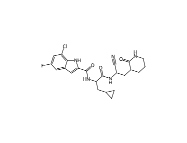 N#CC(CC1CCCNC1=O)NC(=O)C(CC1CC1)NC(=O)c1cc2cc(F)cc(Cl)c2[nH]1